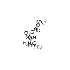 CCc1c(C(N)=c2ccc(=C(c3ccc(N(CC)Cc4cccc(S(=O)(=O)O)c4)cc3)c3ccccc3S(=O)(=O)O)cc2)cccc1S(=O)(=O)O